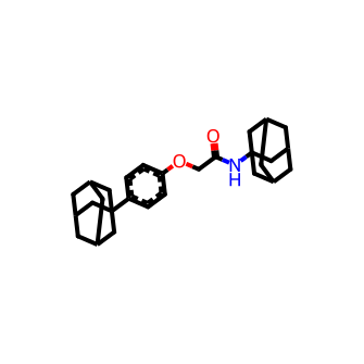 O=C(COc1ccc(C23CC4CC(CC(C4)C2)C3)cc1)NC12CC3CC(CC(C3)C1)C2